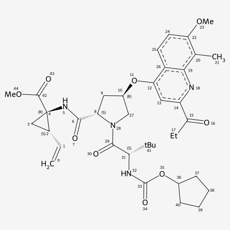 C=C[C@@H]1C[C@]1(NC(=O)[C@@H]1C[C@@H](Oc2cc(C(=O)CC)nc3c(C)c(OC)ccc23)CN1C(=O)[C@@H](NC(=O)OC1CCCC1)C(C)(C)C)C(=O)OC